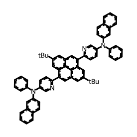 CC(C)(C)c1cc2cc(-c3ccc(N(c4ccccc4)c4ccc5ccccc5c4)cn3)c3cc(C(C)(C)C)cc4cc(-c5ccc(N(c6ccccc6)c6ccc7ccccc7c6)cn5)c(c1)c2c43